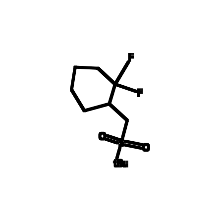 CC(C)(C)S(=O)(=O)CC1CCCCC1(F)F